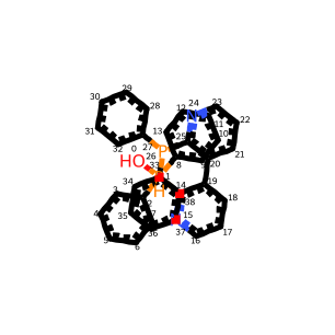 O[PH](c1ccccc1)(c1ccccc1)c1ncccc1-c1cccnc1P(c1ccccc1)c1ccccc1